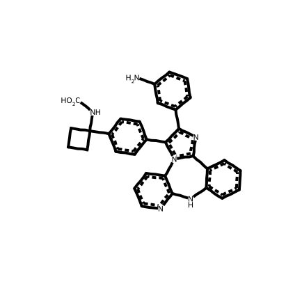 Nc1cccc(-c2nc3n(c2-c2ccc(C4(NC(=O)O)CCC4)cc2)-c2cccnc2Nc2ccccc2-3)c1